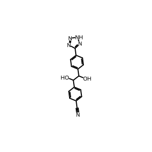 N#Cc1ccc(C(O)C(O)c2ccc(-c3nn[nH]n3)cc2)cc1